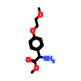 COCCOc1ccc(C(N)C(=O)OC)cc1